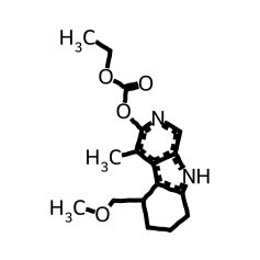 CCOC(=O)Oc1ncc2[nH]c3c(c2c1C)C(COC)CCC3